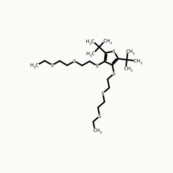 CCSCCSCCSc1c(C(C)(C)C)sc(C(C)(C)C)c1SCCSCCSCC